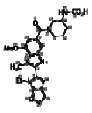 CCn1c(-c2nc3cc(C(=O)N4CCCC(NC(=O)O)C4)cc(OC)c3n2C)cc2ccoc21